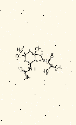 CC(C)C(=O)NC1CC(C)(C)CC(C)(CNC(=O)C(C)O)C1